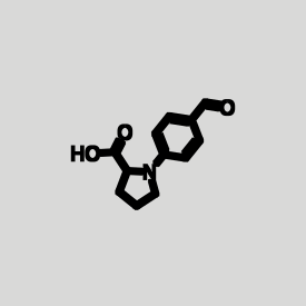 O=Cc1ccc(N2CCCC2C(=O)O)cc1